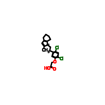 CC1=CC2=C(CCCC2)[C@H]1CCc1cc(OCC(=O)O)c(Cl)cc1Cl